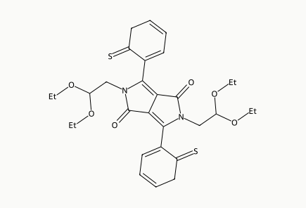 CCOC(CN1C(=O)C2=C(C3=CC=CCC3=S)N(CC(OCC)OCC)C(=O)C2=C1C1=CC=CCC1=S)OCC